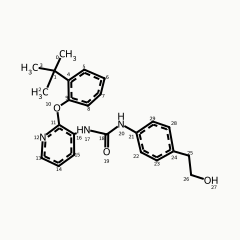 CC(C)(C)c1ccccc1Oc1ncccc1NC(=O)Nc1ccc(CCO)cc1